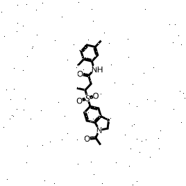 CC(=O)N1CCc2cc(S(=O)(=O)C(C)CC(=O)Nc3cc(C)ccc3C)ccc21